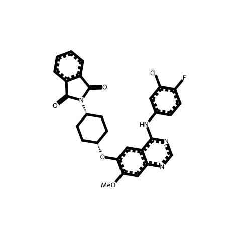 COc1cc2ncnc(Nc3ccc(F)c(Cl)c3)c2cc1O[C@H]1CC[C@@H](N2C(=O)c3ccccc3C2=O)CC1